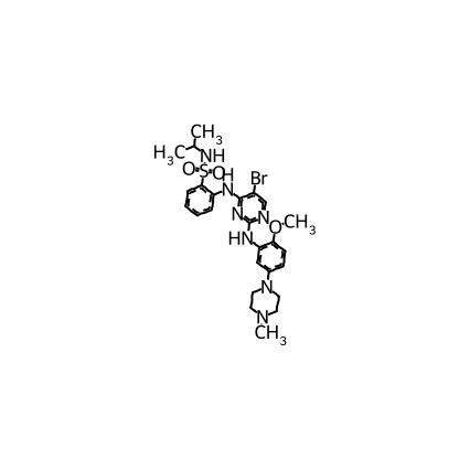 COc1ccc(N2CCN(C)CC2)cc1Nc1ncc(Br)c(Nc2ccccc2S(=O)(=O)NC(C)C)n1